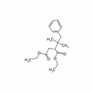 CCOC(=O)CC(C(=O)OCC)C(C)(C)Cc1ccccc1